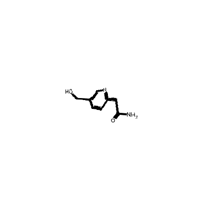 NC(=O)Cc1ccc(CO)cn1